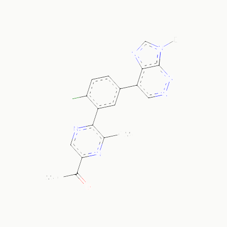 CCn1cnc2c(-c3ccc(F)c(-c4ncc(C(=O)OC)nc4OC)c3)cnnc21